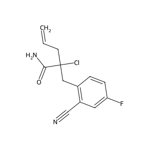 C=CCC(Cl)(Cc1ccc(F)cc1C#N)C(N)=O